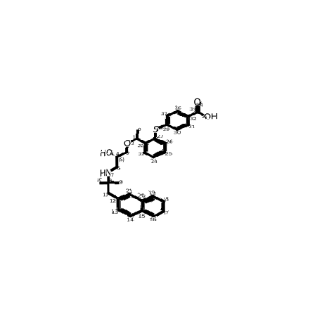 CC(OC[C@@H](O)CNC(C)(C)Cc1ccc2ccccc2c1)c1ccccc1Sc1ccc(C(=O)O)cc1